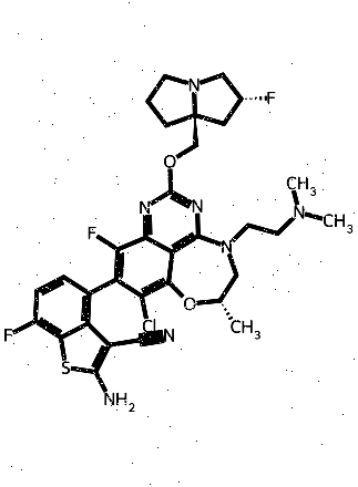 C[C@H]1CN(CCN(C)C)c2nc(OC[C@@]34CCCN3C[C@H](F)C4)nc3c(F)c(-c4ccc(F)c5sc(N)c(C#N)c45)c(Cl)c(c23)O1